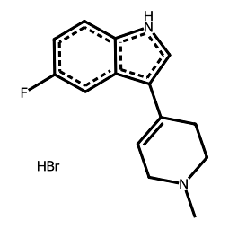 Br.CN1CC=C(c2c[nH]c3ccc(F)cc23)CC1